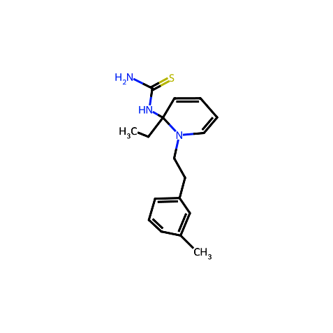 CCC1(NC(N)=S)C=CC=CN1CCc1cccc(C)c1